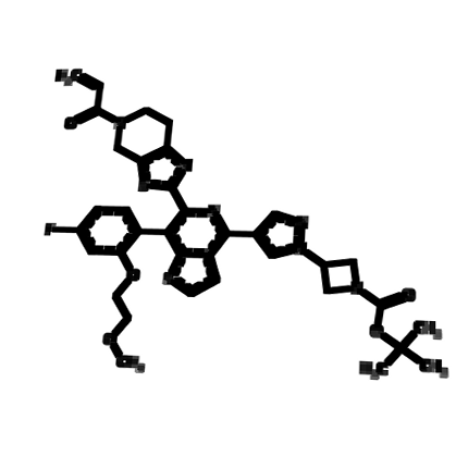 C=CC(=O)N1CCc2nc(-c3nc(-c4cnn(C5CN(C(=O)OC(C)(C)C)C5)c4)c4ccsc4c3-c3ccc(F)cc3OCCOC)sc2C1